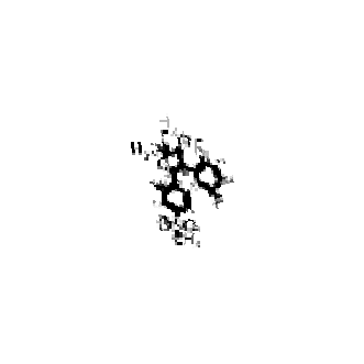 CC1(C)OC(c2ccc(S(C)(=O)=O)cc2F)=C(c2cc(F)ccc2F)C1=O